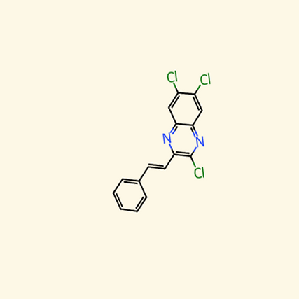 Clc1cc2nc(Cl)c(C=Cc3ccccc3)nc2cc1Cl